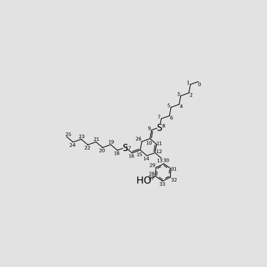 CCCCCCCCSC=C1C=C(C)CC(=CSCCCCCCCC)C1.Oc1ccccc1